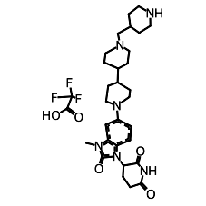 Cn1c(=O)n(C2CCC(=O)NC2=O)c2ccc(N3CCC(C4CCN(CC5CCNCC5)CC4)CC3)cc21.O=C(O)C(F)(F)F